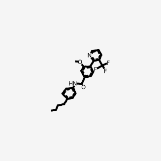 CCCCc1ccc(NC(=O)c2ccc(-c3ncccc3C(F)(F)F)c(OC)c2)cc1